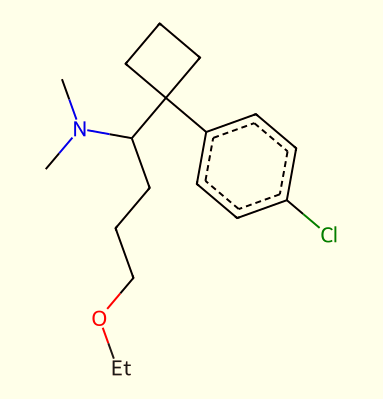 CCOCCCC(N(C)C)C1(c2ccc(Cl)cc2)CCC1